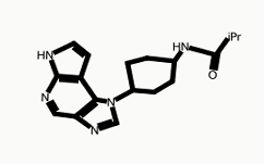 CC(C)C(=O)NC1CCC(n2cnc3cnc4[nH]ccc4c32)CC1